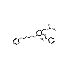 Cc1c(OCCCCSc2ccncc2)ccc(CCC(C)C)c1OCc1ccccc1